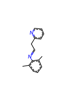 Cc1cccc(C)c1N=CCc1ccccn1